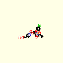 O=C(OC1([C@H]2COC[C@@H](CC3CC3)N2S(=O)(=O)c2ccc(Cl)cc2)CC1)N1CCC(CCO)CC1